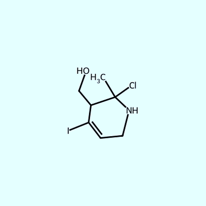 CC1(Cl)NCC=C(I)C1CO